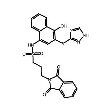 O=C1c2ccccc2C(=O)N1CCCS(=O)(=O)Nc1cc(Sc2nc[nH]n2)c(O)c2ccccc12